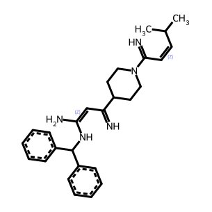 CC(C)/C=C\C(=N)N1CCC(C(=N)/C=C(/N)NC(c2ccccc2)c2ccccc2)CC1